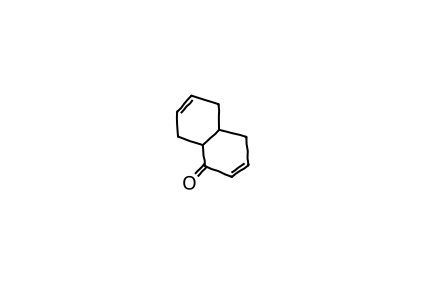 O=C1C=CCC2CC=CCC12